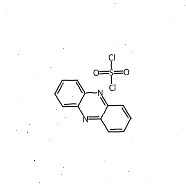 O=S(=O)(Cl)Cl.c1ccc2nc3ccccc3nc2c1